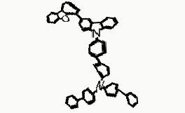 c1ccc(-c2ccc(N(c3ccc(-c4ccccc4)cc3)c3ccc(-c4ccc(-n5c6ccccc6c6cc(-c7cccc8c7oc7ccccc78)ccc65)cc4)cc3)cc2)cc1